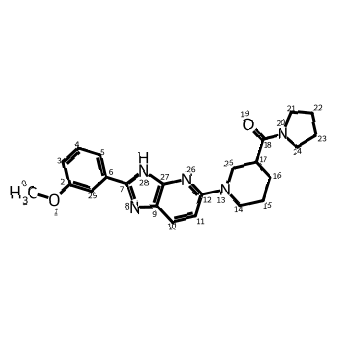 COc1cccc(-c2nc3ccc(N4CCCC(C(=O)N5CCCC5)C4)nc3[nH]2)c1